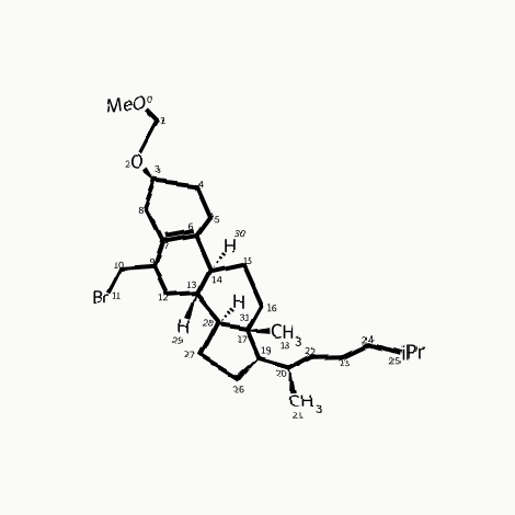 COCO[C@H]1CCC2=C(C1)C(CBr)C[C@@H]1[C@@H]2CC[C@]2(C)[C@@H]([C@H](C)CCCC(C)C)CC[C@@H]12